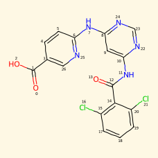 O=C(O)c1ccc(Nc2cc(NC(=O)c3c(Cl)cccc3Cl)ncn2)nc1